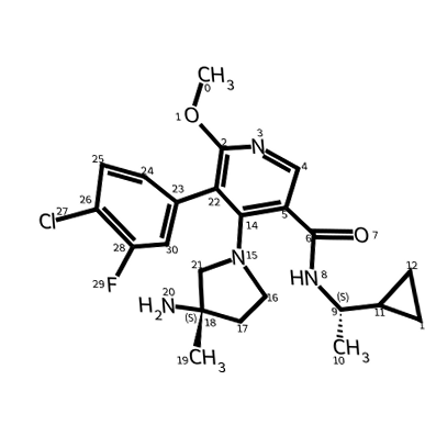 COc1ncc(C(=O)N[C@@H](C)C2CC2)c(N2CC[C@](C)(N)C2)c1-c1ccc(Cl)c(F)c1